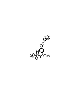 CC(NC(=O)OC(C)(C)C)C(O)c1ccc(OCCCO[Si](C)(C)C(C)(C)C)cc1